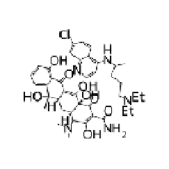 CCN(CC)CCCC(C)Nc1ccnc2cc(Cl)ccc12.CN(C)[C@@H]1C(O)=C(C(N)=O)C(=O)[C@@]2(O)C(O)=C3C(=O)c4c(O)cccc4[C@@](C)(O)[C@H]3C[C@@H]12